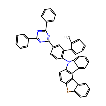 O=[N+]([O-])c1ccccc1-c1cc(-c2nc(-c3ccccc3)nc(-c3ccccc3)n2)ccc1-n1c2ccccc2c2c3c(ccc21)sc1ccccc13